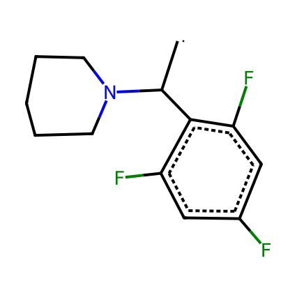 [CH2]C(c1c(F)cc(F)cc1F)N1CCCCC1